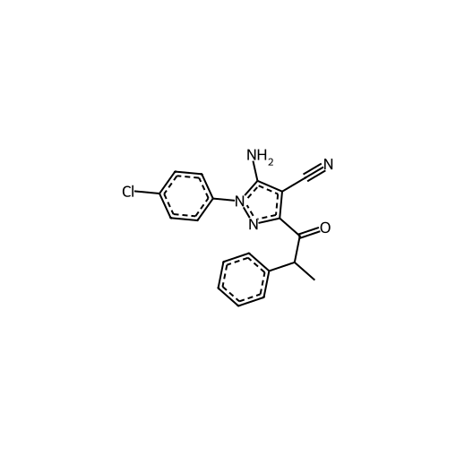 CC(C(=O)c1nn(-c2ccc(Cl)cc2)c(N)c1C#N)c1ccccc1